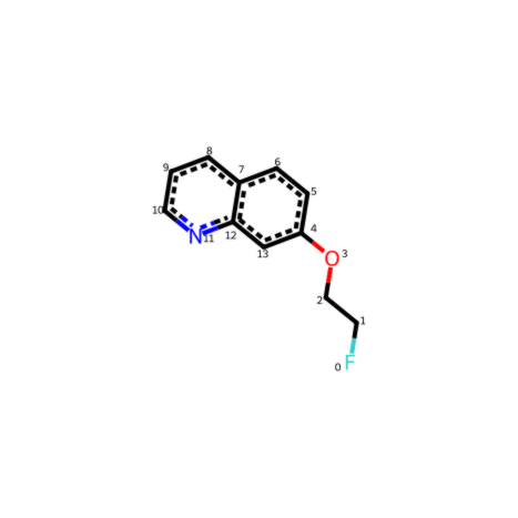 FCCOc1ccc2cccnc2c1